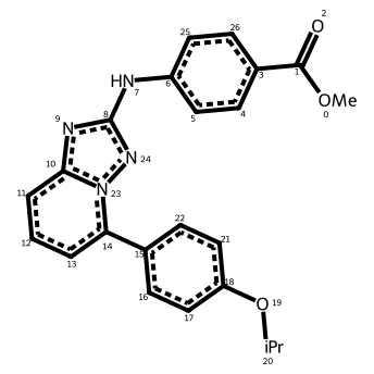 COC(=O)c1ccc(Nc2nc3cccc(-c4ccc(OC(C)C)cc4)n3n2)cc1